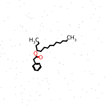 CCCCCCCCCCC(CCC)OC(=O)Cc1ccccc1